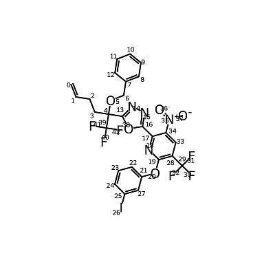 C=CCCC(OCc1ccccc1)(c1nnc(-c2nc(Oc3cccc(I)c3)c(C(F)(F)F)cc2[N+](=O)[O-])o1)C(F)(F)F